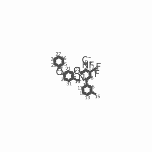 [C-]#[N+]c1c(C(F)(F)F)cc(-c2cccc(C)c2)n(Cc2ccc(Oc3ccccc3)cc2)c1=O